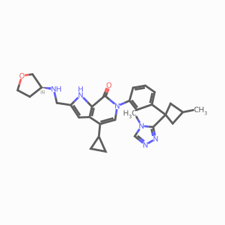 CC1CC(c2cccc(-n3cc(C4CC4)c4cc(CN[C@H]5CCOC5)[nH]c4c3=O)c2)(c2nncn2C)C1